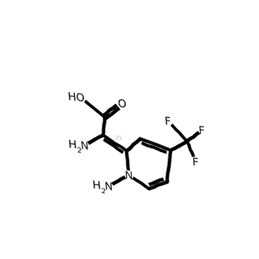 N/C(C(=O)O)=C1/C=C(C(F)(F)F)C=CN1N